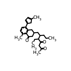 CCCC(CC1CC(=O)c2c(C)ccc(C3=CC=C(C)C3)c2C1)C(CC)C(=O)CC(C)=O